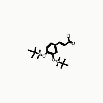 CC(C)(C)[Si](C)(C)Oc1ccc(C=CC(=O)Cl)cc1O[Si](C)(C)C(C)(C)C